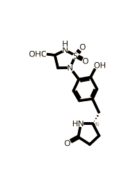 O=CC1CN(c2ccc(C[C@@H]3CCC(=O)N3)cc2O)S(=O)(=O)N1